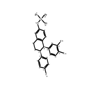 CC(C)[Si](Oc1ccc2c(c1)CC[C@H](c1ccc(F)cc1)[C@@H]2c1ccc(I)c(F)c1)(C(C)C)C(C)C